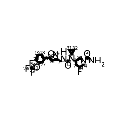 NC(=O)N1C[C@@H](F)C[C@@H](N(C(=O)NCc2cc(-c3cccc(OC(F)(F)F)c3)on2)C2CC2)C1